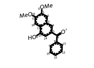 COc1cc2cc(C(=O)c3ccccc3)cc(O)c2cc1OC